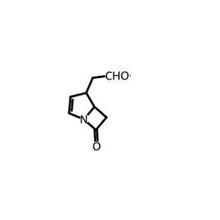 O=[C]CC1C=CN2C(=O)CC12